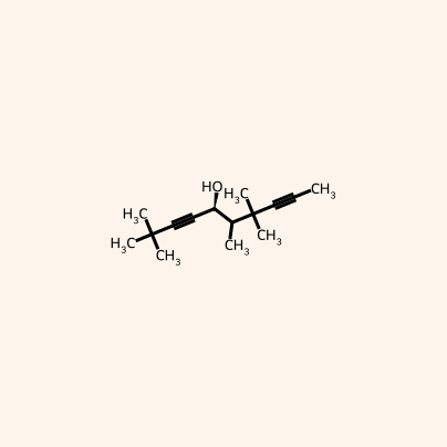 CC#CC(C)(C)C(C)[C@H](O)C#CC(C)(C)C